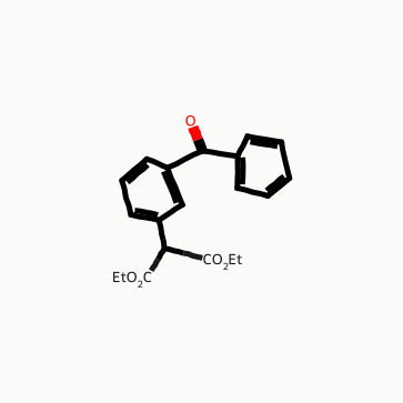 CCOC(=O)C(C(=O)OCC)c1cccc(C(=O)c2ccccc2)c1